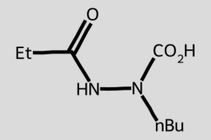 CCCCN(NC(=O)CC)C(=O)O